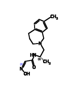 Cc1ccc2c(c1)CN(C[C@H](C)NC(=O)/C=N\O)CCC2